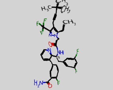 CCc1c(C#CC(C)(C)C)c(C(F)(F)F)nn1CC(=O)N[C@@H](Cc1cc(F)cc(F)c1)c1ncccc1-c1ccc(F)c(C(N)=O)c1